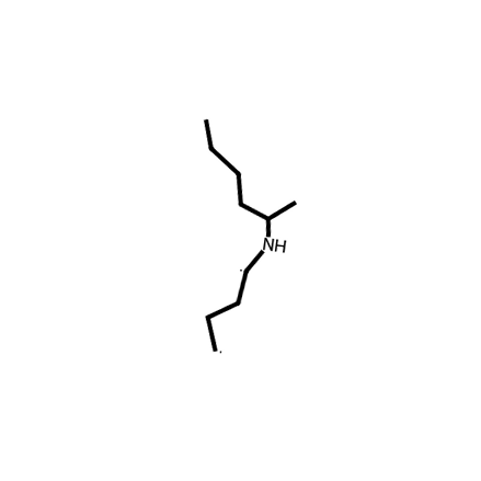 [CH2]CC[CH]NC(C)CCCC